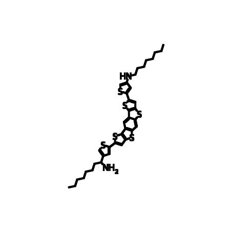 CCCCCCCCNc1csc(-c2cc3sc4cc5sc6cc(-c7cc(C(N)CCCCCCC)cs7)sc6c5cc4c3s2)c1